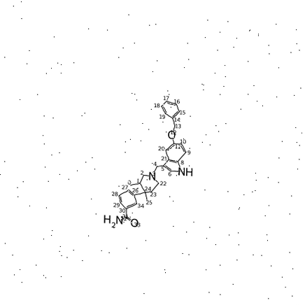 CC1CN(Cc2c[nH]c3ccc(OCc4ccccc4)cc23)CCC1(C)c1cccc(C(N)=O)c1